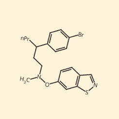 CCCC(CCN(C)Oc1ccc2cnsc2c1)c1ccc(Br)cc1